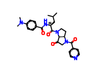 CC(C)C[C@H](NC(=O)c1ccc(N(C)C)cc1)C(=O)N1CCC2C1C(=O)CN2C(=O)c1ccncc1